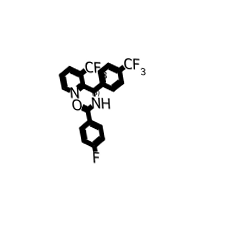 O=C(N[C@@H](c1ccc(C(F)(F)F)cc1)c1ncccc1C(F)(F)F)c1ccc(F)cc1